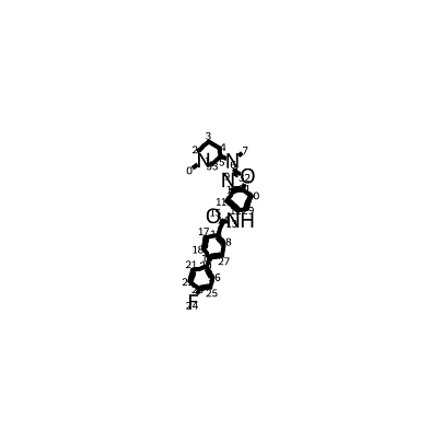 CN1CCCC(N(C)c2nc3cc(NC(=O)c4ccc(-c5ccc(F)cc5)cc4)ccc3o2)C1